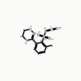 Cc1cccc(C2=NOCCS2)c1S(=O)(=O)N=C=O